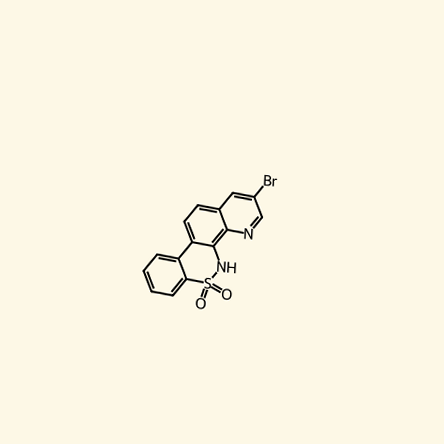 O=S1(=O)Nc2c(ccc3cc(Br)cnc23)-c2ccccc21